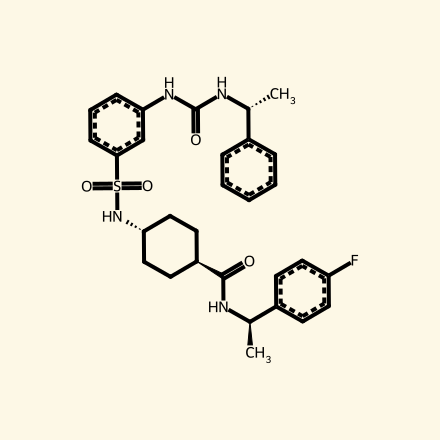 C[C@@H](NC(=O)Nc1cccc(S(=O)(=O)N[C@H]2CC[C@H](C(=O)N[C@H](C)c3ccc(F)cc3)CC2)c1)c1ccccc1